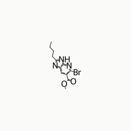 CCCCc1nc2cc(C(=O)OC)c(Br)nc2[nH]1